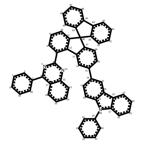 c1ccc(-c2nc(-c3cccc4c3-c3cc(-c5ccc6c(c5)c5ccccc5n6-c5ccccc5)ccc3C43c4ccccc4-c4ccccc43)nc3ccccc23)cc1